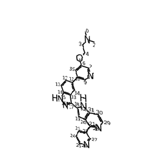 CN(C)CCOc1cncc(-c2ccc3[nH]nc(-c4cc5c(-c6cccnc6)nccc5[nH]4)c3c2)c1